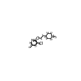 Cc1cnc(OCCC2CCN(C)CC2)c(Cl)c1